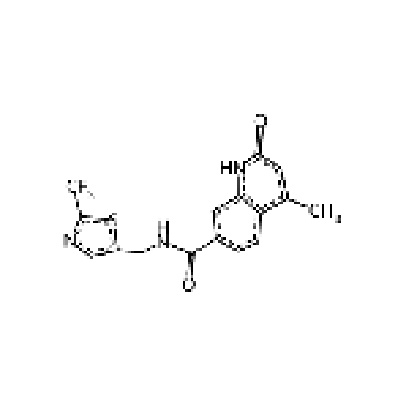 Cc1cc(=O)[nH]c2cc(C(=O)NCc3cnc(C(F)(F)F)s3)ccc12